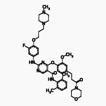 COc1cc(CCC(=O)N2CCOCC2)ccc1Oc1nc(Nc2ccc(OCCCN3CCN(C)CC3)c(F)c2)ncc1C(=O)Nc1c(C)cccc1C